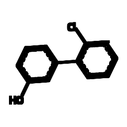 Oc1cccc(-c2ccc[c]c2Cl)c1